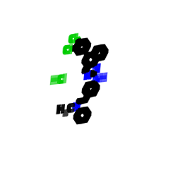 CN(CCc1ccc(Nc2ncc3c(n2)-c2ccccc2[C@H](c2ccc(Cl)c(Cl)c2)C3)cc1)C1CCCCC1.Cl